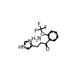 N[C@@H](Cc1c[nH]cn1)C(=O)c1ccc[c]c1OC(F)(F)F